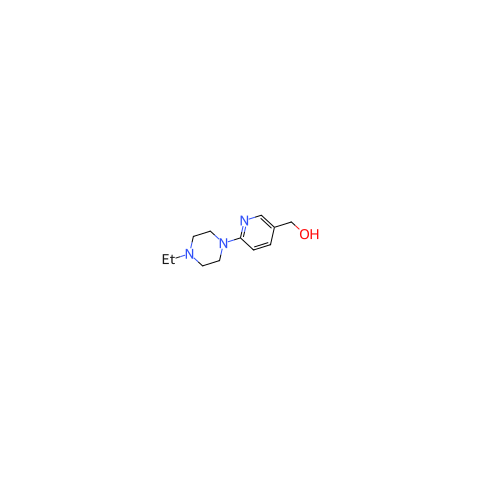 CCN1CCN(c2ccc(CO)cn2)CC1